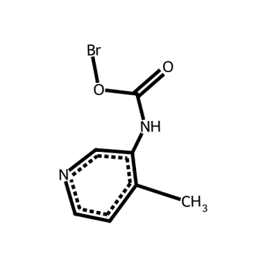 Cc1ccncc1NC(=O)OBr